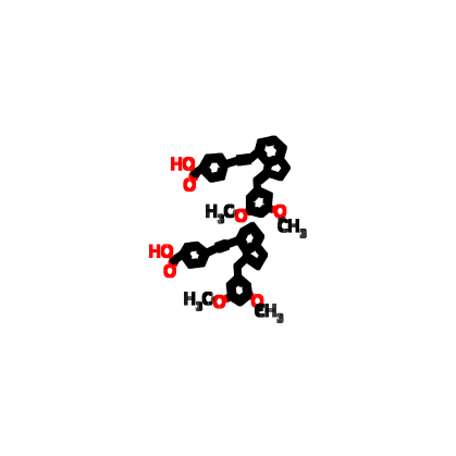 COc1cc(C=C2CCc3cccc(C#Cc4ccc(C(=O)O)cc4)c32)cc(OC)c1.COc1cc(CC2=CCc3cccc(C#Cc4ccc(C(=O)O)cc4)c32)cc(OC)c1